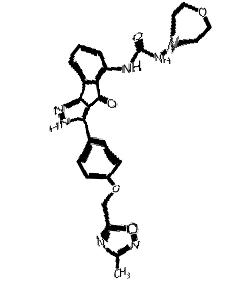 Cc1noc(COc2ccc(-c3[nH]nc4c3C(=O)c3c(NC(=O)NN5CCOCC5)cccc3-4)cc2)n1